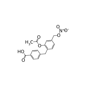 CC(=O)Oc1cc(CO[N+](=O)[O-])ccc1Cc1ccc(C(=O)O)cc1